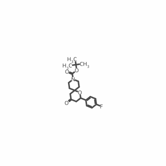 CC(C)(C)OC(=O)N1CCC2(CC1)CC(=O)CC(c1ccc(F)cc1)O2